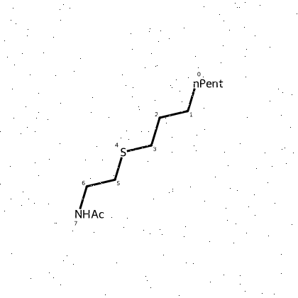 CCCCCCCCSCCNC(C)=O